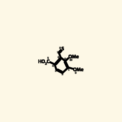 COc1ccc(C(=O)O)c(C=S)c1OC